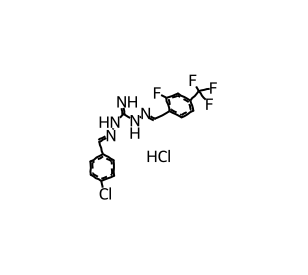 Cl.N=C(NN=Cc1ccc(Cl)cc1)NN=Cc1ccc(C(F)(F)F)cc1F